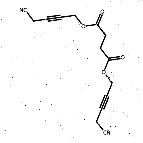 N#CCC#CCOC(=O)CCC(=O)OCC#CCC#N